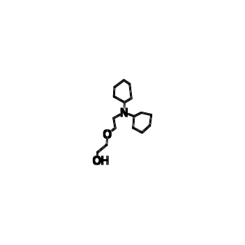 OCCOCCN(C1CCCCC1)C1CCCCC1